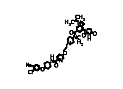 CC(C)n1ccc2c(N3CCC(=O)NC3=O)cc(C(=O)N(C)C3CCN(CCCOc4ccc(C(=O)N[C@H]5CC[C@H](Oc6ccc(C#N)c(Cl)c6)CC5)nc4)CC3)cc21